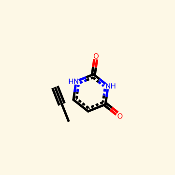 C#CC.O=c1cc[nH]c(=O)[nH]1